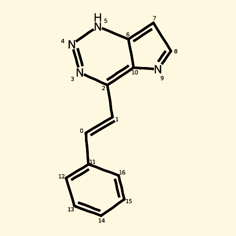 C(=Cc1nn[nH]c2ccnc1-2)c1ccccc1